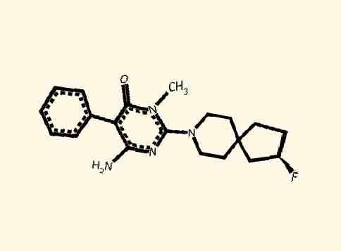 Cn1c(N2CCC3(CC[C@@H](F)C3)CC2)nc(N)c(-c2ccccc2)c1=O